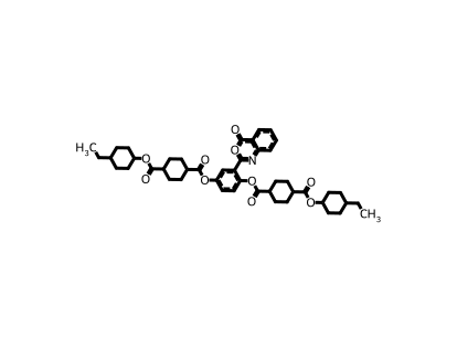 CCC1CCC(OC(=O)C2CCC(C(=O)Oc3ccc(OC(=O)C4CCC(C(=O)OC5CCC(CC)CC5)CC4)c(-c4nc5ccccc5c(=O)o4)c3)CC2)CC1